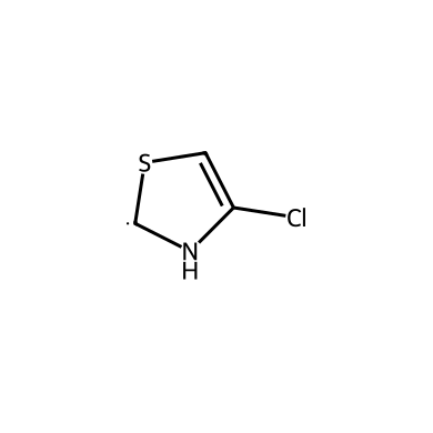 ClC1=CS[CH]N1